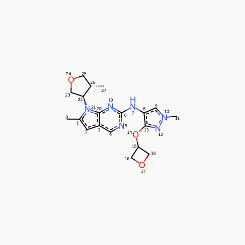 Cc1cc2cnc(Nc3cn(C)nc3OC3COC3)nc2n1[C@H]1COC[C@@H]1C